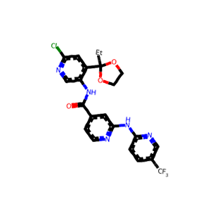 CCC1(c2cc(Cl)ncc2NC(=O)c2ccnc(Nc3ccc(C(F)(F)F)cn3)c2)OCCO1